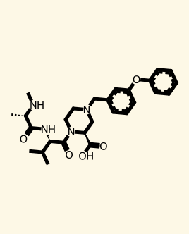 CN[C@@H](C)C(=O)N[C@H](C(=O)N1CCN(Cc2cccc(Oc3ccccc3)c2)C[C@H]1C(=O)O)C(C)C